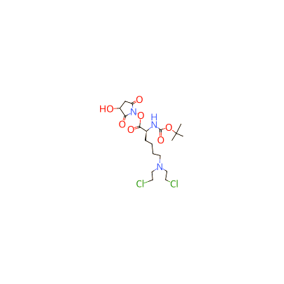 CC(C)(C)OC(=O)N[C@@H](CCCCN(CCCl)CCCl)C(=O)ON1C(=O)CC(O)C1=O